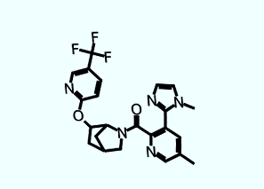 Cc1cnc(C(=O)N2CC3CC(Oc4ccc(C(F)(F)F)cn4)C2C3)c(-c2nccn2C)c1